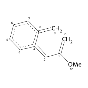 C=C(/C=c1/ccccc1=C)OC